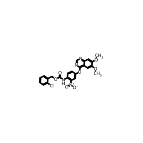 COc1cc2ncnc(Oc3ccc(NC(=O)OCc4ccccc4Cl)c([N+](=O)[O-])c3)c2cc1OC